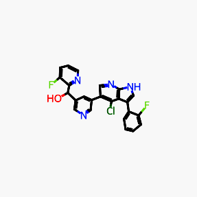 OC(c1cncc(-c2cnc3[nH]cc(-c4ccccc4F)c3c2Cl)c1)c1ncccc1F